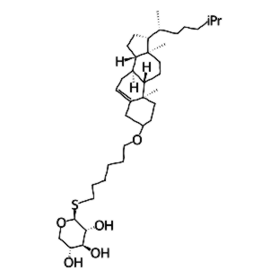 CC(C)CCC[C@@H](C)[C@H]1CC[C@H]2[C@@H]3CC=C4CC(OCCCCCCS[C@@H]5OC[C@@H](O)[C@H](O)[C@H]5O)CC[C@]4(C)[C@H]3CC[C@]12C